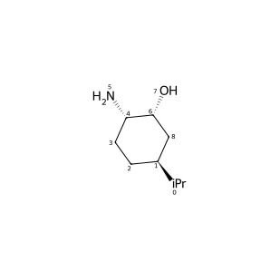 CC(C)[C@H]1CC[C@H](N)[C@H](O)C1